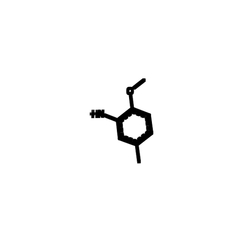 COc1ccc(C)cc1[NH]